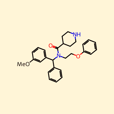 COc1cccc(C(c2ccccc2)N(CCOc2ccccc2)C(=O)C2CCNCC2)c1